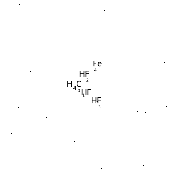 C.F.F.F.[Fe]